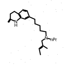 C=C1CCc2ccc(CCCCCN(CCC)C/C(C)=C/C)cc2N1